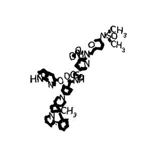 CCc1ccccc1[C@H]1CCCN1C1CC2(CCN(c3ccc(C(=O)NS(=O)(=O)c4cnc(NCC5CCC(N=S(=O)(CC)CC)CO5)c([N+](=O)[O-])c4)c(Oc4cnc5[nH]ccc5c4)c3)CC2)C1